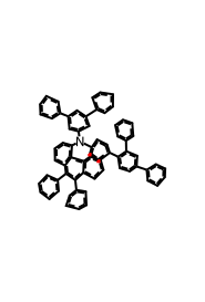 c1ccc(-c2cc(-c3ccccc3)cc(N(c3ccc(-c4ccc(-c5ccccc5)cc4-c4ccccc4)cc3)c3cccc4c(-c5ccccc5)c(-c5ccccc5)c5ccccc5c34)c2)cc1